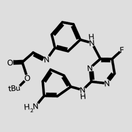 CC(C)(C)OC(=O)C=Nc1cccc(Nc2nc(Nc3cccc(N)c3)ncc2F)c1